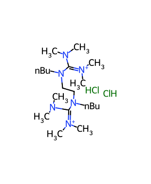 CCCCN(CCN(CCCC)C(N(C)C)=[N+](C)C)C(N(C)C)=[N+](C)C.Cl.Cl